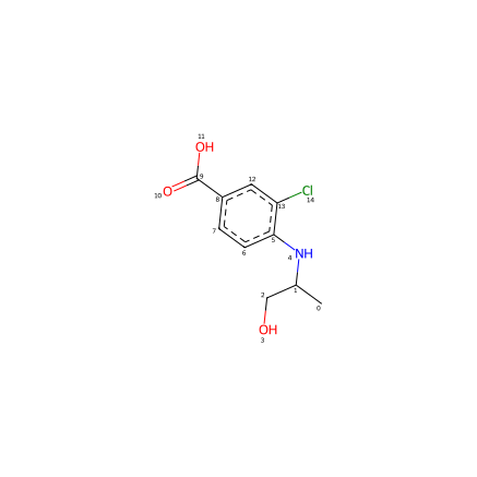 CC(CO)Nc1ccc(C(=O)O)cc1Cl